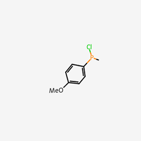 COc1ccc(P(C)Cl)cc1